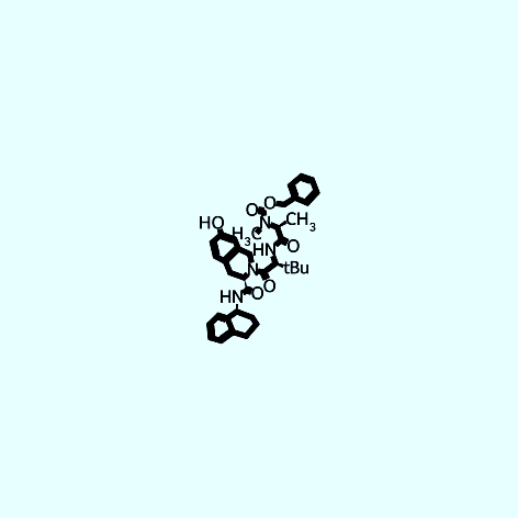 C[C@@H](C(=O)N[C@H](C(=O)N1Cc2cc(O)ccc2C[C@H]1C(=O)N[C@@H]1CCCc2ccccc21)C(C)(C)C)N(C)C(=O)OCc1ccccc1